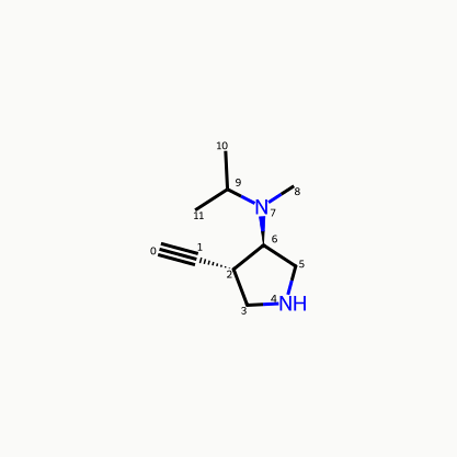 C#C[C@H]1CNC[C@@H]1N(C)C(C)C